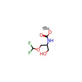 CC(C)(C)OC(=O)NC(CO)COC(F)F